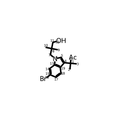 CC(=O)C(C)(C)c1cn(CC(C)(C)CO)c2cc(Br)ccc12